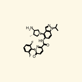 CC(C)n1ncc2c(N3C[C@H](C)[C@@H](N)C3)c(NC(=O)c3ccc(=O)n(-c4c(F)cccc4F)n3)ccc21